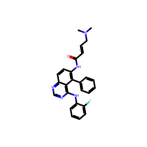 CN(C)C/C=C/C(=O)Nc1ccc2ncnc(Nc3ccccc3F)c2c1-c1ccccc1